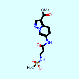 COC(=O)c1cnn2cc(NC(=O)CCNS(C)(=O)=O)ccc12